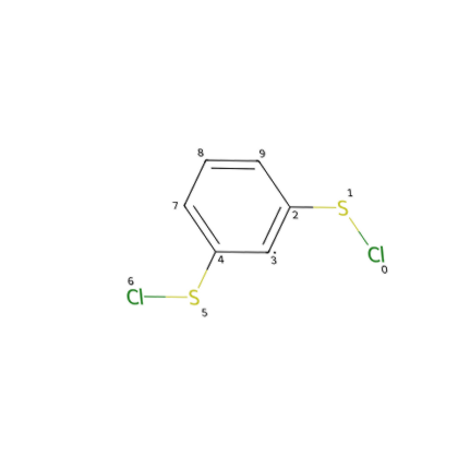 ClSc1[c]c(SCl)ccc1